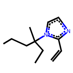 C=Cc1nccn1C(C)(CC)CCC